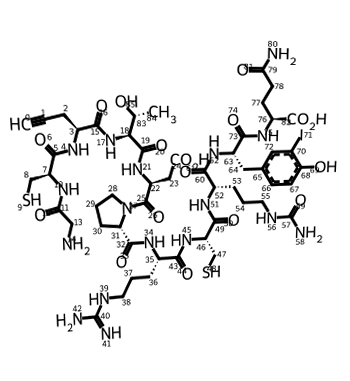 C#CC[C@H](NC(=O)[C@H](CS)NC(=O)CN)C(=O)N[C@H](C(=O)N[C@@H](CC(=O)O)C(=O)N1CCC[C@H]1C(=O)N[C@@H](CCCNC(=N)N)C(=O)N[C@@H](CS)C(=O)N[C@@H](CCCNC(N)=O)C(=O)N[C@@H](Cc1ccc(O)c(I)c1)C(=O)N[C@@H](CCC(N)=O)C(=O)O)[C@@H](C)O